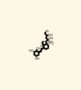 C=C1/C(=C\C=C2/CCC[C@@]3(C)[C@H]2CC[C@@H]3[C@@](C)(O)CC(O)CC(C)C)C[C@H](O)C[C@H]1O